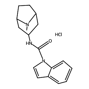 CN1C2CCC1CC(NC(=O)n1ccc3ccccc31)C2.Cl